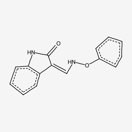 O=C1Nc2ccccc2C1=CNOc1ccccc1